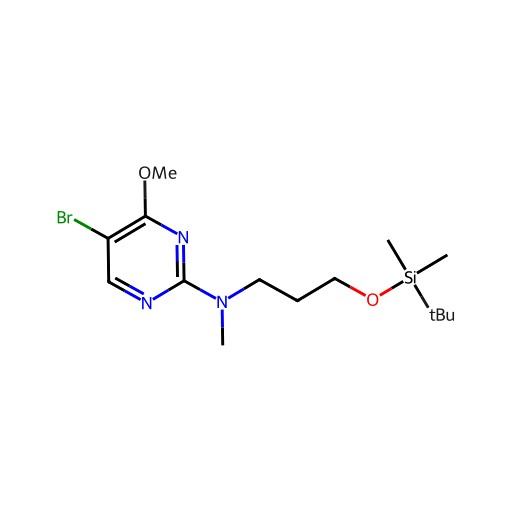 COc1nc(N(C)CCCO[Si](C)(C)C(C)(C)C)ncc1Br